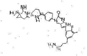 Cc1cc(CCC[C@H](C)N)cc(-c2cc3cn(-c4ccc([C@@H]5CCC[C@@H](C[C@@H](CC6CC6)NC(=N)CN)N5)cc4)c(=O)nc3[nH]2)c1F